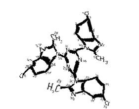 Cc1nc2cc(Cl)ccc2n1-c1nc(-n2c(C)nc3cc(Cl)ccc32)nc(-n2c(C)nc3cc(Cl)ccc32)n1